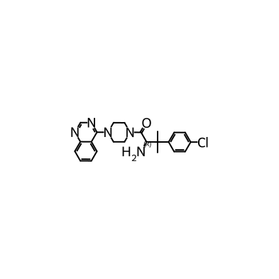 CC(C)(c1ccc(Cl)cc1)[C@@H](N)C(=O)N1CCN(c2ncnc3ccccc23)CC1